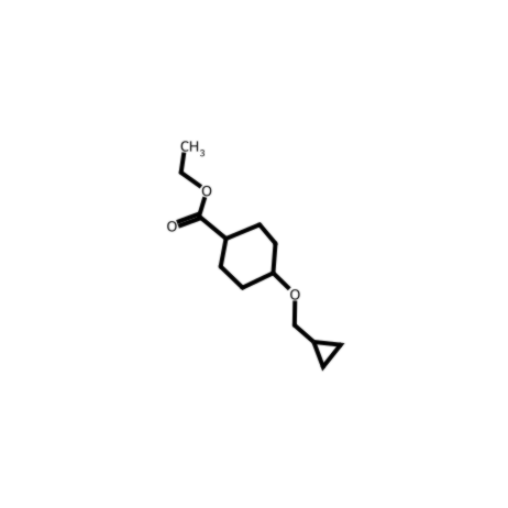 CCOC(=O)C1CCC(OCC2CC2)CC1